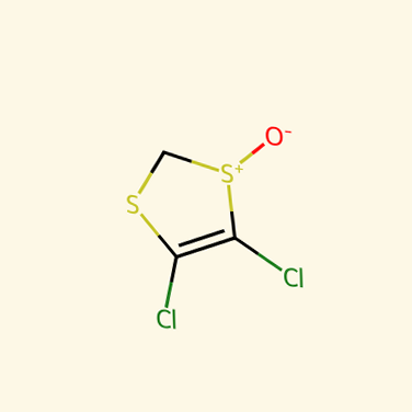 [O-][S+]1CSC(Cl)=C1Cl